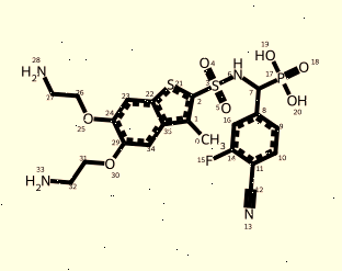 Cc1c(S(=O)(=O)NC(c2ccc(C#N)c(F)c2)P(=O)(O)O)sc2cc(OCCN)c(OCCN)cc12